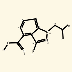 COC(=O)c1cccc2c1c(F)nn2CC(C)C